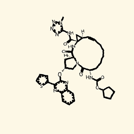 Cn1nnnc1NC(=O)[C@@]12C[C@H]1/C=C\CCCCC[C@H](NC(=O)OC1CCCC1)C(=O)N1C[C@H](Oc3nc4ccccc4nc3-c3cccs3)C[C@H]1C(=O)N2